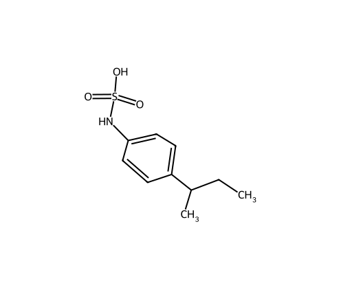 CCC(C)c1ccc(NS(=O)(=O)O)cc1